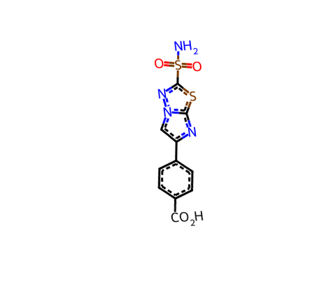 NS(=O)(=O)c1nn2cc(-c3ccc(C(=O)O)cc3)nc2s1